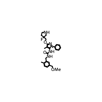 COCc1ccc(C)c(CNC(=O)Nc2c(C)c(OCC3(F)CCNC3)nn2-c2ccccc2)c1